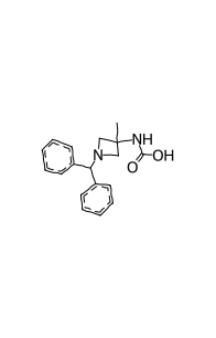 CC1(NC(=O)O)CN(C(c2ccccc2)c2ccccc2)C1